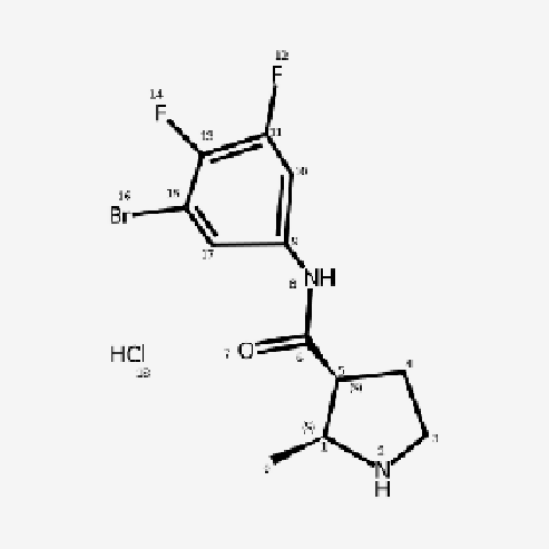 C[C@@H]1NCC[C@@H]1C(=O)Nc1cc(F)c(F)c(Br)c1.Cl